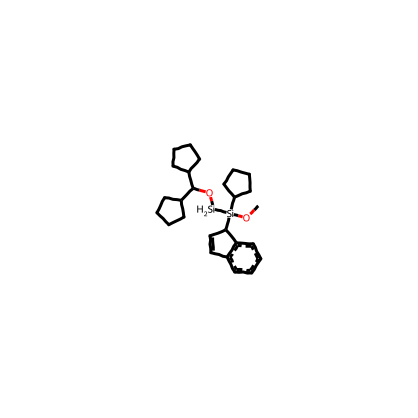 CO[Si]([SiH2]OC(C1CCCC1)C1CCCC1)(C1CCCC1)C1C=Cc2ccccc21